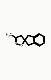 CC1=NOC2(C1)Cc1ccccc1C2